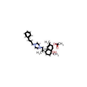 CC(=O)O[C@@H]1[CH][C@@]2(O)[C@H](C)CC[C@@H](C(C)CN3CCN(C/C=C/c4ccccc4)CC3)[C@H]2C=C1C